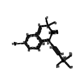 CC1(C)C=c2cc(F)ccc2=C(C#C[Si](C)(C)C)N1